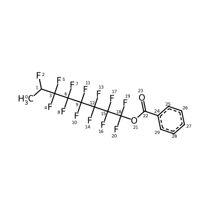 CC(F)C(F)(F)C(F)(F)C(F)(F)C(F)(F)C(F)(F)C(F)(F)OC(=O)c1ccccc1